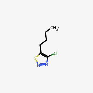 [CH2]CCCc1snnc1Cl